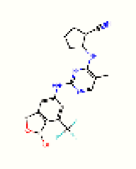 Cc1cnc(Nc2cc3c(c(C(F)(F)F)c2)B(O)OC3)nc1NC1CCCC1C#N